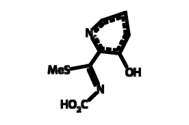 CS/C(=N\C(=O)O)c1ncccc1O